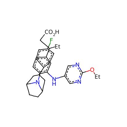 CCOc1ncc(Nc2cc(C(CC)CC(=O)O)ccc2N2C3CCC2CC(c2ccc(F)cc2)C3)cn1